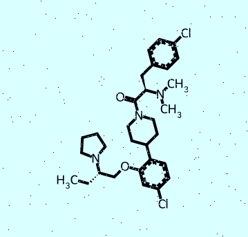 CC[C@@H](COc1cc(Cl)ccc1C1CCN(C(=O)[C@@H](Cc2ccc(Cl)cc2)N(C)C)CC1)N1CCCC1